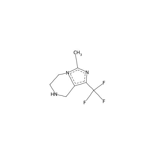 Cc1nc(C(F)(F)F)c2n1CCNC2